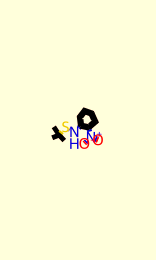 CC(C)(C)SNc1ccccc1[N+](=O)[O-]